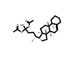 CC(=O)OC(O)(CC[C@@H](C)[C@H]1CC[C@H]2[C@@H]3CC=C4CCCC[C@]4(C)[C@H]3CC[C@]12C)OC(C)=O